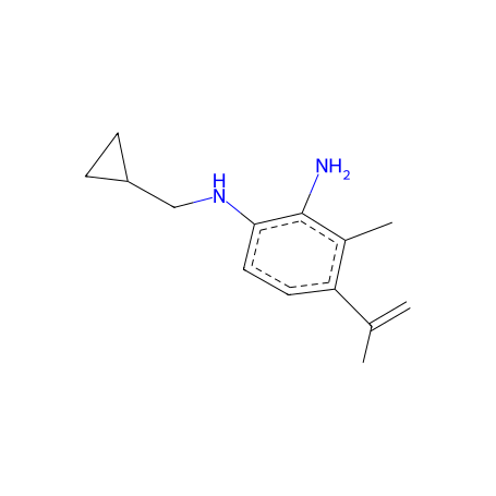 C=C(C)c1ccc(NCC2CC2)c(N)c1C